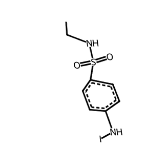 CCNS(=O)(=O)c1ccc(NI)cc1